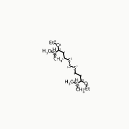 CCOC(CCSSSCCC(OCC)[SiH](C)C)[SiH](C)C